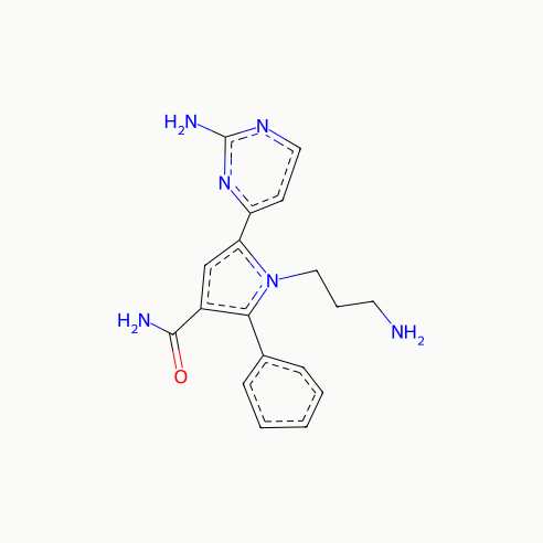 NCCCn1c(-c2ccnc(N)n2)cc(C(N)=O)c1-c1ccccc1